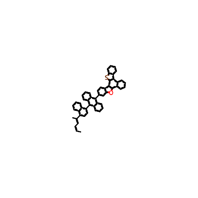 C/C=C\C=C(/C)c1ccc(-c2c3ccccc3c(-c3ccc4c(c3)oc3c5ccccc5c5c6ccccc6sc5c43)c3ccccc23)c2ccccc12